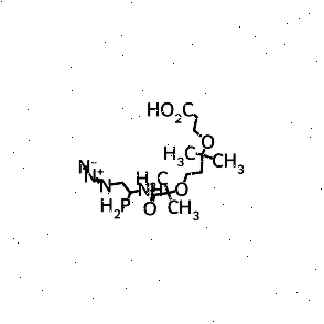 CC(C)(CCOC(C)(C)C(=O)NC(P)CN=[N+]=[N-])OCCC(=O)O